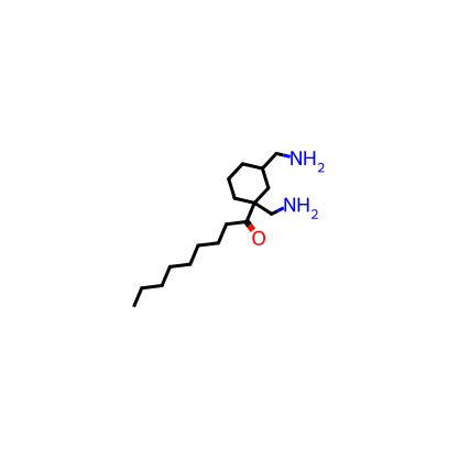 CCCCCCCCC(=O)C1(CN)CCCC(CN)C1